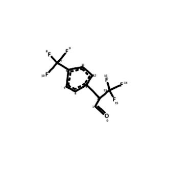 O=CC(c1ccc(C(F)(F)F)cc1)C(F)(F)F